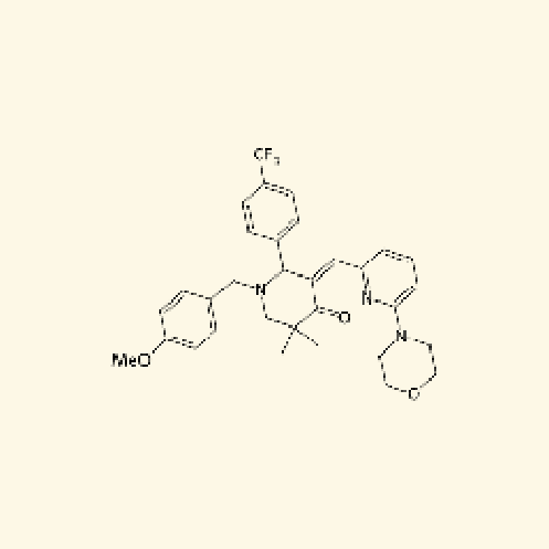 COc1ccc(CN2CC(C)(C)C(=O)C(=Cc3cccc(N4CCOCC4)n3)C2c2ccc(C(F)(F)F)cc2)cc1